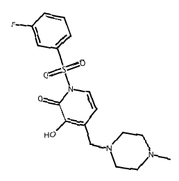 CN1CCN(Cc2ccn(S(=O)(=O)c3cccc(F)c3)c(=O)c2O)CC1